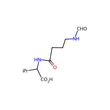 CC(C)C(NC(=O)CCCNC=O)C(=O)O